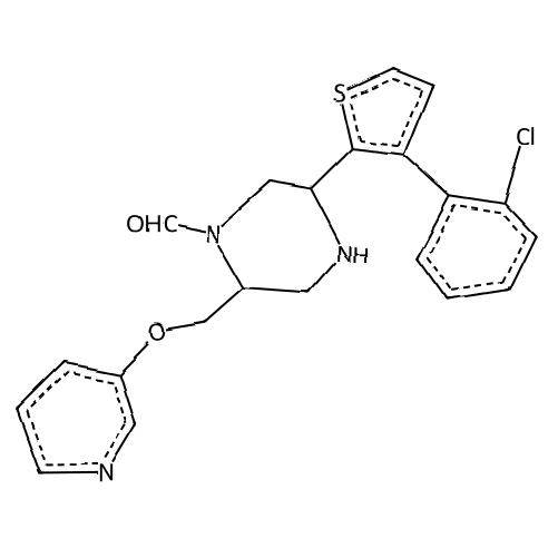 O=CN1CC(c2sccc2-c2ccccc2Cl)NCC1COc1cccnc1